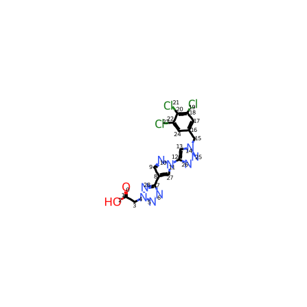 O=C(O)Cn1nnc(-c2cnn(-c3cn(Cc4cc(Cl)c(Cl)c(Cl)c4)nn3)c2)n1